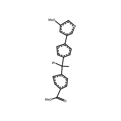 COC(=O)c1ccc(C(C)(c2ccc(-c3cncc(OC)c3)cc2)C(C)C)cc1